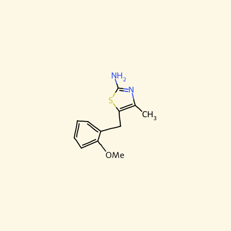 COc1ccccc1Cc1sc(N)nc1C